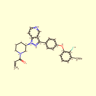 C=CC(=O)N1CCC[C@@H](n2nc(-c3ccc(Oc4cccc(OC)c4F)cc3)c3cnccc32)C1